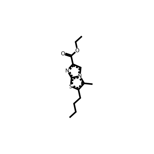 CCCCc1sc2nc(C(=O)OCC)cn2c1C